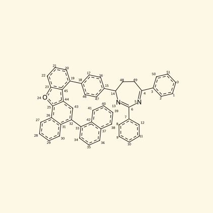 c1ccc(C2=NC(c3ccccc3)=NC(c3ccc(-c4cccc5oc6c7ccccc7c(-c7cccc8ccccc78)cc6c45)cc3)CC2)cc1